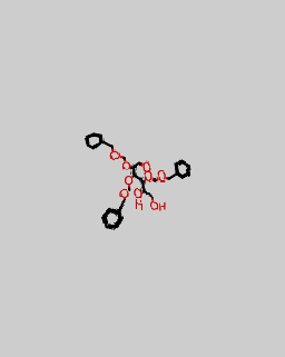 O=C[C@H](OCOCc1ccccc1)[C@@H](OCOCc1ccccc1)[C@@H](OCOCc1ccccc1)[C@H](O)CO